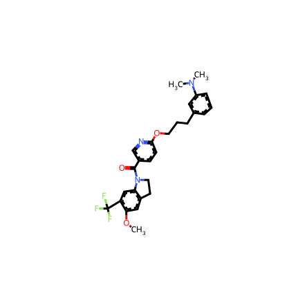 COc1cc2c(cc1C(F)(F)F)N(C(=O)c1ccc(OCCCc3cccc(N(C)C)c3)nc1)CC2